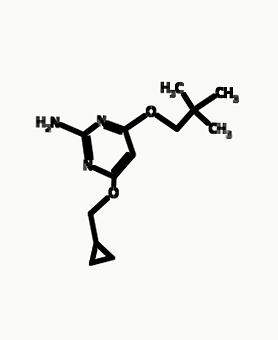 CC(C)(C)COc1cc(OCC2CC2)nc(N)n1